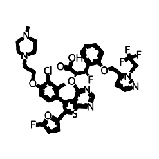 Cc1c(-c2c(-c3ccc(F)o3)sc3ncnc(O[C@H](C(=O)O)[C@H](F)c4ccccc4OCc4ccnn4CC(F)(F)F)c23)ccc(OCCN2CCN(C)CC2)c1Cl